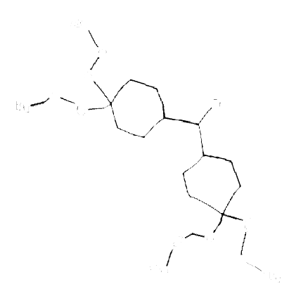 CCCCOOC1(OOCCCC)CCC(C(CC)C2CCC(OOCCCC)(OOCCCC)CC2)CC1